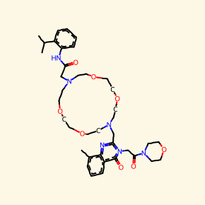 Cc1cccc2c(=O)n(CC(=O)N3CCOCC3)c(CN3CCOCCOCCN(CC(=O)Nc4ccccc4C(C)C)CCOCCOCC3)nc12